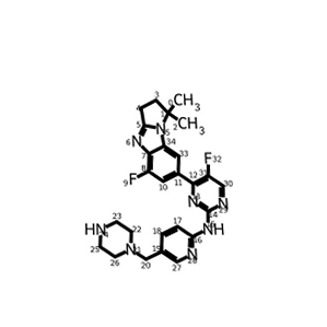 CC1(C)CCc2nc3c(F)cc(-c4nc(Nc5ccc(CN6CCNCC6)cn5)ncc4F)cc3n21